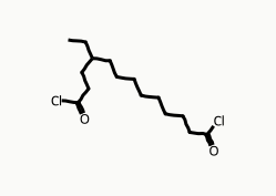 CCC(CCCCCCCCC(=O)Cl)CCC(=O)Cl